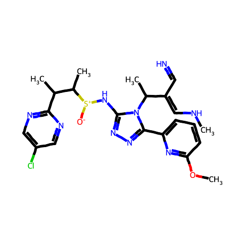 CN/C=C(\C=N)C(C)n1c(N[S+]([O-])C(C)C(C)c2ncc(Cl)cn2)nnc1-c1cccc(OC)n1